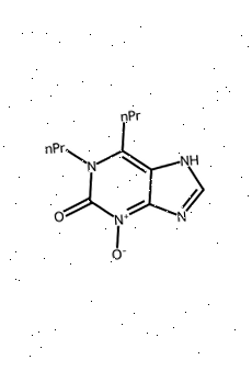 CCCc1c2[nH]cnc2[n+]([O-])c(=O)n1CCC